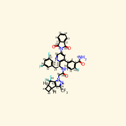 NC(=O)c1cc(-c2cc(N3C(=O)c4ccccc4C3=O)cnc2[C@H](Cc2cc(F)cc(F)c2)NC(=O)Cn2nc(C(F)(F)F)c3c2C(F)(F)[C@@H]2CC[C@H]32)ccc1F